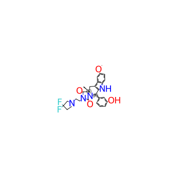 COc1ccc2[nH]c3c(c2c1)C[C@@]1(C)C(=O)N(CCN2CCC(F)(F)C2)C(=O)N1[C@@H]3c1cccc(O)c1